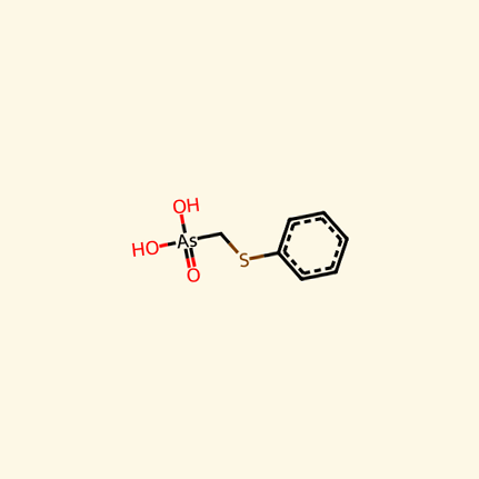 O=[As](O)(O)CSc1ccccc1